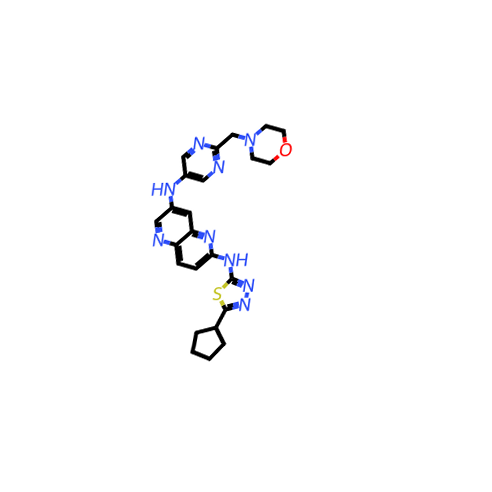 c1nc(CN2CCOCC2)ncc1Nc1cnc2ccc(Nc3nnc(C4CCCC4)s3)nc2c1